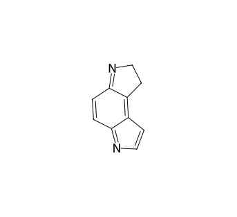 C1=Cc2c3c(ccc2=N1)=NCC3